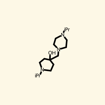 CC(C)N1CCN(CC2(O)CCN(C(C)C)CC2)CC1